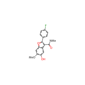 CNC(=O)c1c(-c2ccc(F)cc2)oc2cc(OC)c(O)cc12